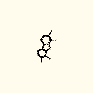 Cc1ccc2c(oc3c(F)c(I)ccc32)c1F